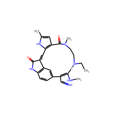 CCN1CCN(C)C(=O)c2cc(C)[nH]c2/C=C2\C(=O)Nc3ccc(cc32)/C(C=N)=C(/NC)C1